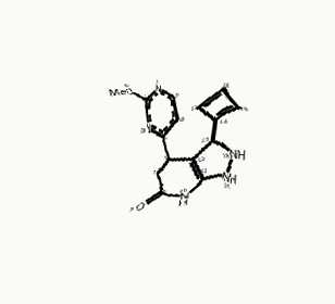 COc1nccc(C2CC(=O)NC3=C2C(C2=CC=C2)NN3)n1